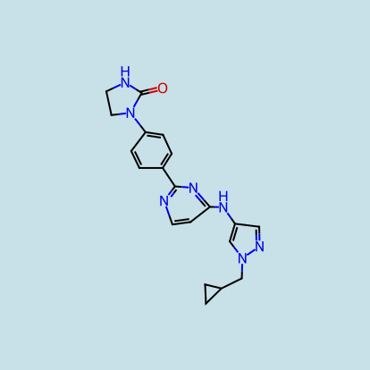 O=C1NCCN1c1ccc(-c2nccc(Nc3cnn(CC4CC4)c3)n2)cc1